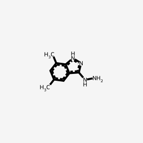 Cc1cc(C)c2[nH]nc(NN)c2c1